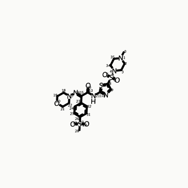 CN1CCN(S(=O)(=O)c2cnc(NC(=O)/C(=N/N3CCOCC3)c3ccc(S(C)(=O)=O)cc3)s2)CC1